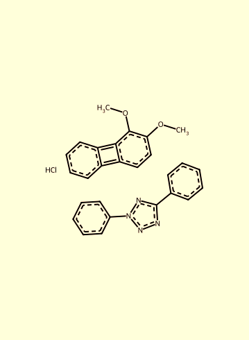 COc1ccc2c(c1OC)=c1ccccc1=2.Cl.c1ccc(-c2nnn(-c3ccccc3)n2)cc1